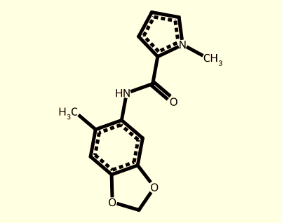 Cc1cc2c(cc1NC(=O)c1cccn1C)OCO2